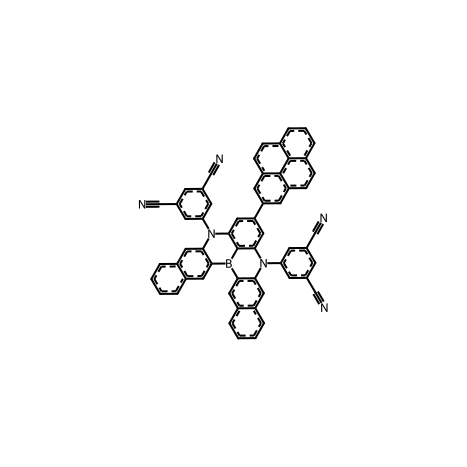 N#Cc1cc(C#N)cc(N2c3cc4ccccc4cc3B3c4cc5ccccc5cc4N(c4cc(C#N)cc(C#N)c4)c4cc(-c5cc6ccc7cccc8ccc(c5)c6c78)cc2c43)c1